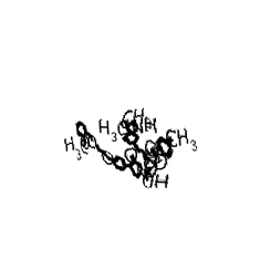 COc1ccccc1COCCCOc1ccc(C2CCN(C(=O)O)CC2OC(CCOS(=O)(=O)c2ccc(C)cc2)c2ccc3c(c2)NCC3(C)C)cc1